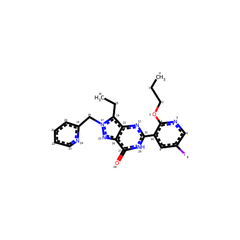 CCCOc1ncc(I)cc1-c1nc2c(CC)n(Cc3ccccn3)nc2c(=O)[nH]1